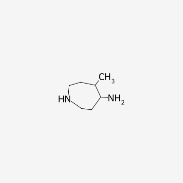 CC1CCNCCC1N